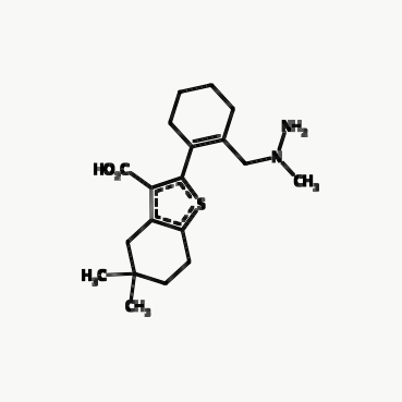 CN(N)CC1=C(c2sc3c(c2C(=O)O)CC(C)(C)CC3)CCCC1